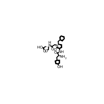 N[C@@H](Cc1ccc(O)cc1)C(=O)Nc1ccc(Cc2ccccc2)n(CC(=O)N[C@H](C=O)CC(=O)O)c1=O